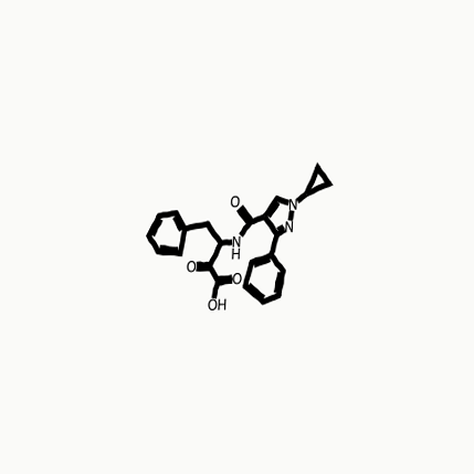 O=C(O)C(=O)C(Cc1ccccc1)NC(=O)c1cn(C2CC2)nc1-c1ccccc1